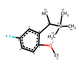 CCOc1ccc(F)cc1C(C#N)[Si](C)(C)C